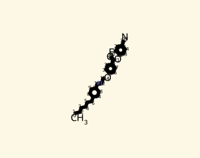 CCCCCCCC1CCC(/C=C/COc2ccc(C(=O)Oc3ccc(C#N)cc3F)cc2)CC1